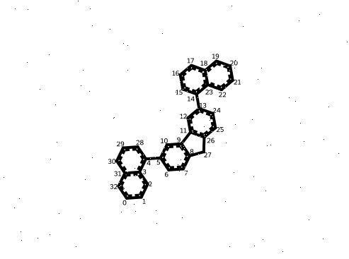 c1ccc2c(-c3ccc4c(c3)-c3cc(-c5cccc6ccccc56)ccc3C4)cccc2c1